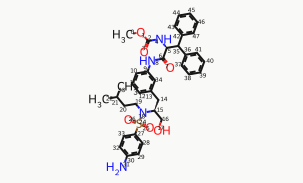 COC(=O)N[C@H](C(=O)Nc1cccc(C[C@@H](CO)N(CCC(C)C)S(=O)(=O)c2ccc(N)cc2)c1)C(c1ccccc1)c1ccccc1